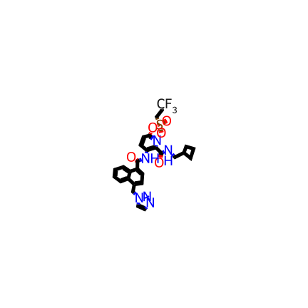 O=C(NCC1CCC1)c1nc(OS(=O)(=O)CCC(F)(F)F)ccc1NC(=O)c1ccc(Cn2ccnn2)c2ccccc12